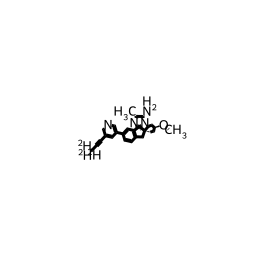 [2H]C([2H])([2H])C#Cc1cncc(-c2ccc3c(c2)[C@@]2(N=C(C)C(N)=N2)[C@]2(CC[C@H](OC)CC2)C3)c1